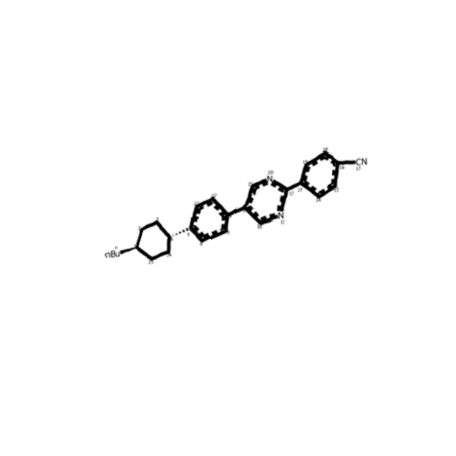 CCCC[C@H]1CC[C@H](c2ccc(-c3cnc(-c4ccc(C#N)cc4)nc3)cc2)CC1